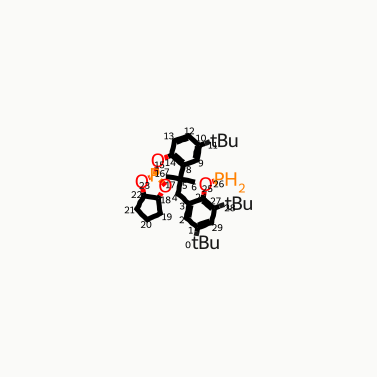 CC(C)(C)c1cc(CC(C)(C)c2cc(C(C)(C)C)ccc2OP2OC3CCCC3O2)c(OP)c(C(C)(C)C)c1